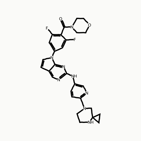 O=C(c1c(F)cc(-n2ccc3cnc(Nc4ccc(N5CCNC6(CC6)C5)nc4)nc32)cc1F)N1CCOCC1